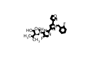 CC(C)[C@H](CN(C)c1nc(-c2cc(-c3ccon3)n(Cc3ccccc3F)n2)ncc1F)C(=O)O